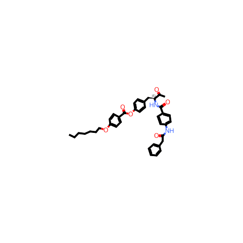 CCCCCCCOc1ccc(C(=O)Oc2ccc(C[C@H](NC(=O)c3ccc(NC(=O)Cc4ccccc4)cc3)C(C)=O)cc2)cc1